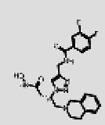 O=C(C[C@@H](CN1CCc2ccccc2C1)n1cc(CNC(=O)c2ccc(F)c(F)c2)nn1)NO